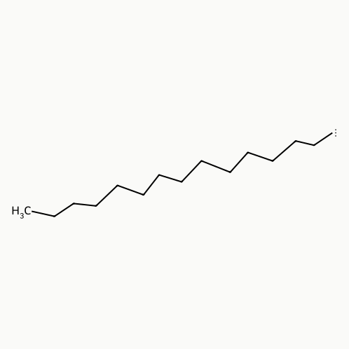 [C]CCCCCCCCCCCCCC